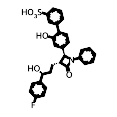 O=C1[C@H](CC[C@H](O)c2ccc(F)cc2)[C@@H](c2ccc(-c3cccc(S(=O)(=O)O)c3)c(O)c2)N1c1ccccc1